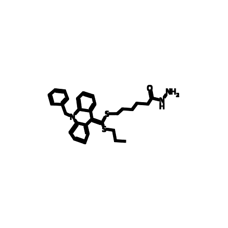 CCCSC(SCCCCCC(=O)NN)=C1c2ccccc2N(Cc2ccccc2)c2ccccc21